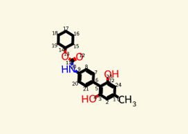 Cc1cc(O)c(-c2ccc(NC(=O)OC3CCCCC3)cc2)c(O)c1